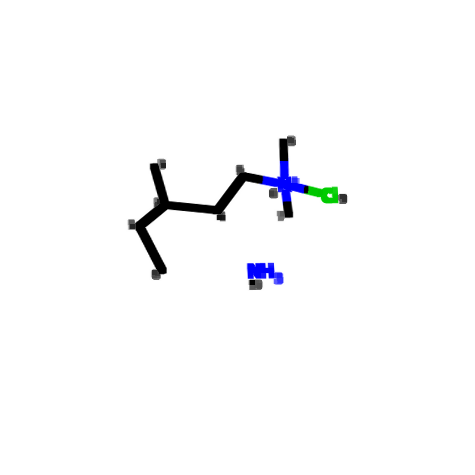 CCC(C)CC[N+](C)(C)Cl.N